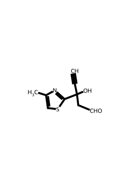 C#CC(O)(CC=O)c1nc(C)cs1